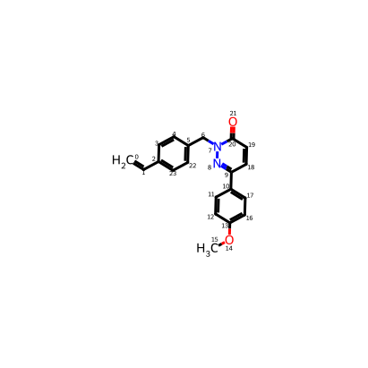 C=Cc1ccc(Cn2nc(-c3ccc(OC)cc3)ccc2=O)cc1